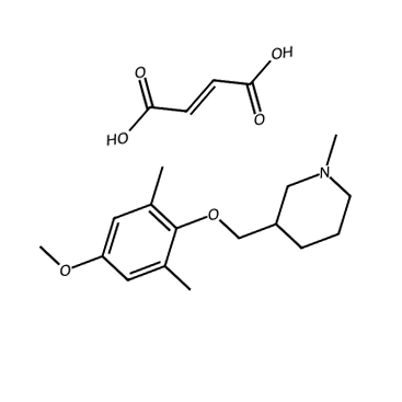 COc1cc(C)c(OCC2CCCN(C)C2)c(C)c1.O=C(O)C=CC(=O)O